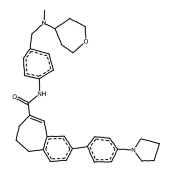 CN(Cc1ccc(NC(=O)C2=Cc3cc(-c4ccc(N5CCCC5)cc4)ccc3CCC2)cc1)C1CCOCC1